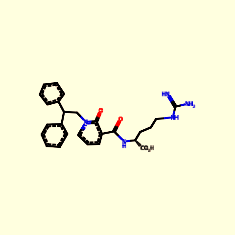 N=C(N)NCCC[C@H](NC(=O)c1cccn(CC(c2ccccc2)c2ccccc2)c1=O)C(=O)O